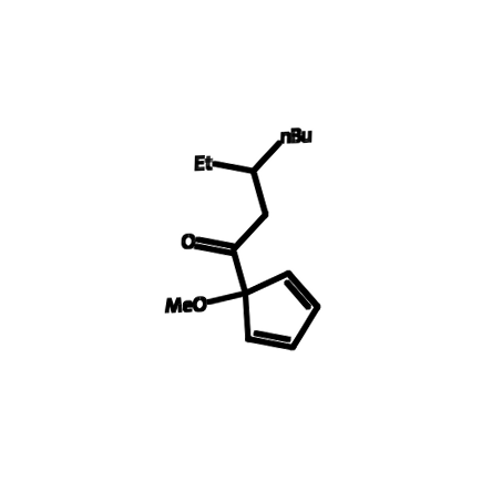 CCCCC(CC)CC(=O)C1(OC)C=CC=C1